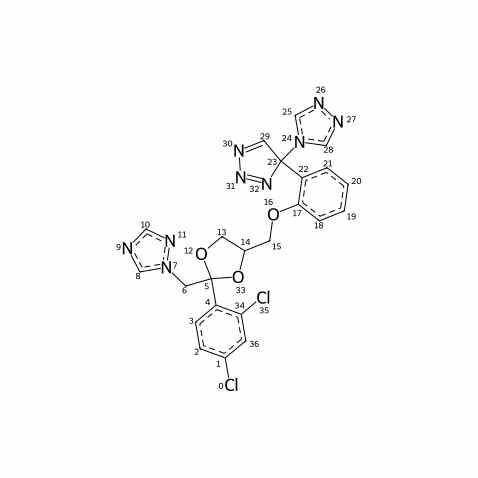 Clc1ccc(C2(Cn3cncn3)OCC(COc3ccccc3C3(n4cnnc4)C=NN=N3)O2)c(Cl)c1